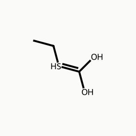 CC[SH]=C(O)O